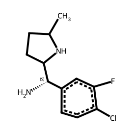 CC1CCC([C@@H](N)c2ccc(Cl)c(F)c2)N1